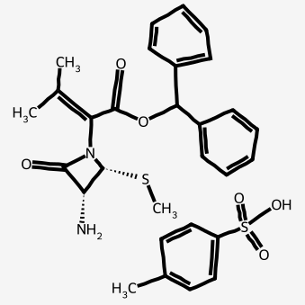 CS[C@@H]1[C@H](N)C(=O)N1C(C(=O)OC(c1ccccc1)c1ccccc1)=C(C)C.Cc1ccc(S(=O)(=O)O)cc1